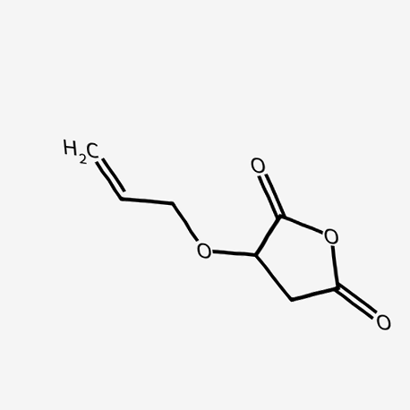 C=CCOC1CC(=O)OC1=O